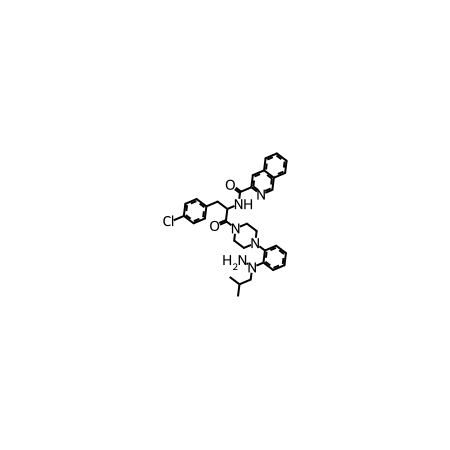 CC(C)CN(N)c1ccccc1N1CCN(C(=O)C(Cc2ccc(Cl)cc2)NC(=O)c2cc3ccccc3cn2)CC1